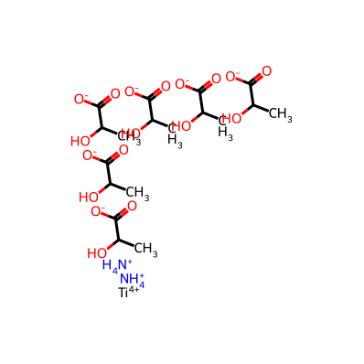 CC(O)C(=O)[O-].CC(O)C(=O)[O-].CC(O)C(=O)[O-].CC(O)C(=O)[O-].CC(O)C(=O)[O-].CC(O)C(=O)[O-].[NH4+].[NH4+].[Ti+4]